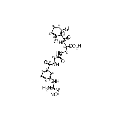 N#C/N=C(\N)Nc1cccc(C(=O)NCC(=O)NCC(NC(=O)c2c(Cl)cccc2Cl)C(=O)O)c1